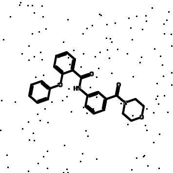 O=C(Nc1cccc(C(=O)N2CCOCC2)c1)c1ccccc1Oc1ccccc1